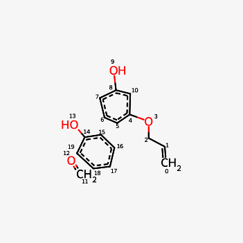 C=CCOc1cccc(O)c1.C=O.Oc1ccccc1